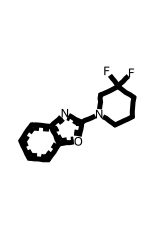 FC1(F)CCCN(c2nc3ccccc3o2)C1